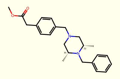 COC(=O)Cc1ccc(CN2C[C@@H](C)N(Cc3ccccc3)[C@@H](C)C2)cc1